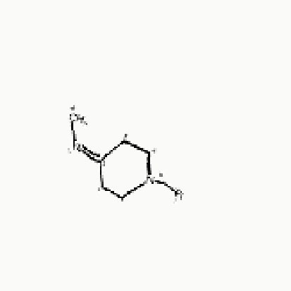 CN=C1CCN(C(C)C)CC1